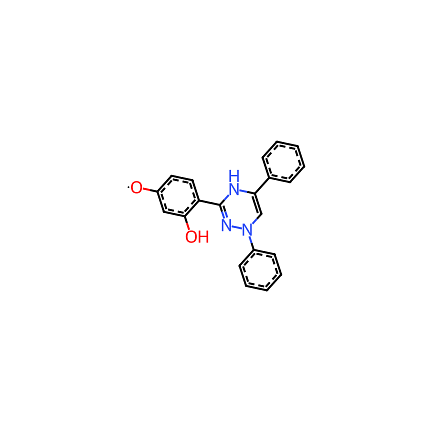 [O]c1ccc(C2=NN(c3ccccc3)C=C(c3ccccc3)N2)c(O)c1